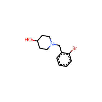 OC1CCN(Cc2ccccc2Br)CC1